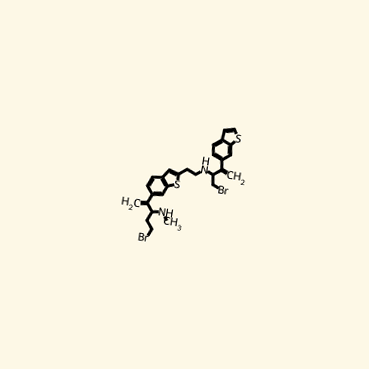 C=C(c1ccc2cc(CCNC(CBr)C(=C)c3ccc4ccsc4c3)sc2c1)C(CCBr)NC